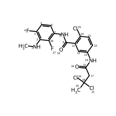 CNc1c(F)ccc(NC(=O)c2cc(NC(=O)CC(C)(Cl)Cl)ccc2Cl)c1F